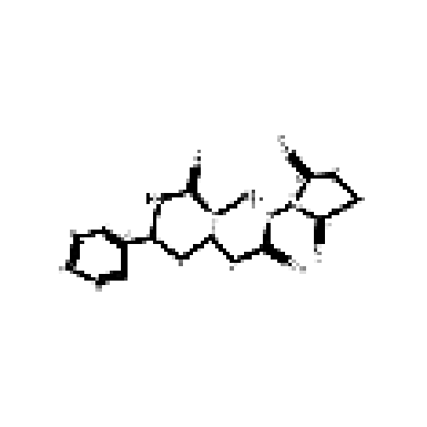 CC(C)(C)OC(=O)NC(CCCC(=O)ON1C(=O)CCC1=O)c1ccccc1